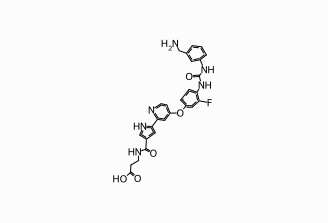 NCc1cccc(NC(=O)Nc2ccc(Oc3ccnc(-c4cc(C(=O)NCCC(=O)O)c[nH]4)c3)cc2F)c1